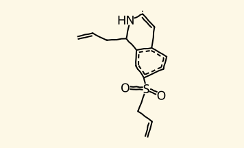 C=CCC1N[C]=Cc2ccc(S(=O)(=O)CC=C)cc21